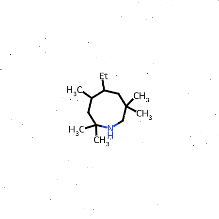 CCC1CC(C)(C)CNC(C)(C)CC1C